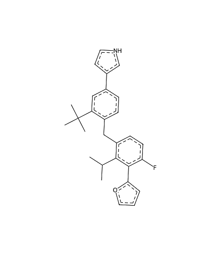 CC(C)c1c(Cc2ccc(-c3cc[nH]c3)cc2C(C)(C)C)ccc(F)c1-c1ccco1